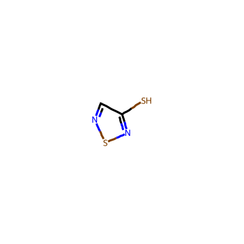 Sc1cnsn1